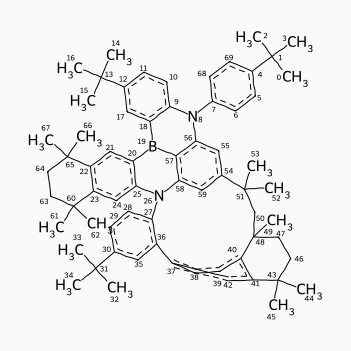 CC(C)(C)c1ccc(N2c3ccc(C(C)(C)C)cc3B3c4cc5c(cc4N4c6ccc(C(C)(C)C)cc6-c6ccc7c(c6)C(C)(C)CCC7(C)CC(C)(C)c6cc2c3c4c6)C(C)(C)CCC5(C)C)cc1